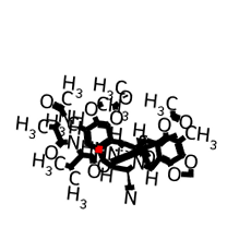 COCOc1c(OC)c(C)cc2c1[C@@H]1N[C@@H](C2)[C@H](C#N)N2C1[C@@H]1SC[C@H](NC(=O)C(NC(=O)C(C)NC(C)=O)C(C)C)C(=O)OC[C@H]2c2c3c(c(C)c(OC(C)=O)c21)OCO3